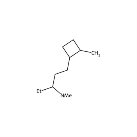 CCC(CCC1CCC1C)NC